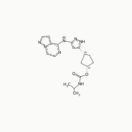 CC(C)NC(=O)O[C@H]1CC[C@@H](c2cc(Nc3nccn4nccc34)n[nH]2)C1